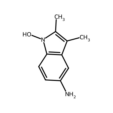 Cc1c(C)n(O)c2ccc(N)cc12